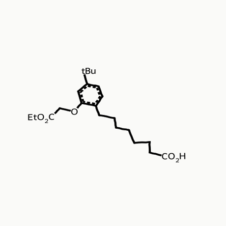 CCOC(=O)COc1cc(C(C)(C)C)ccc1CCCCCCCC(=O)O